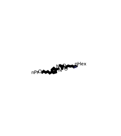 CCCCCC/C=C\CCCC(=O)Oc1cnc(-c2ccc(CCCCCOCCC)cc2)nc1